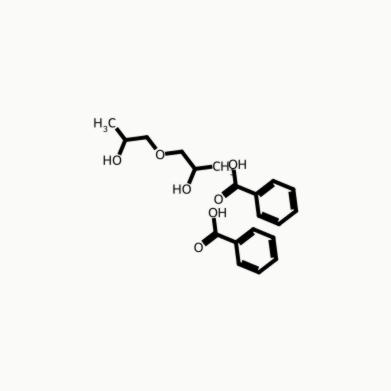 CC(O)COCC(C)O.O=C(O)c1ccccc1.O=C(O)c1ccccc1